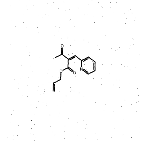 C=CCOC(=O)/C(=C\c1ccccn1)C(C)=O